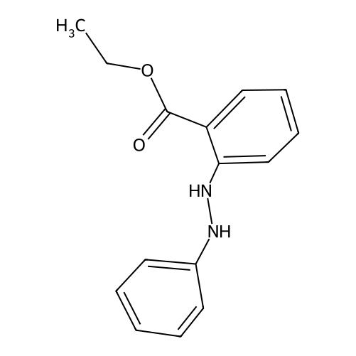 CCOC(=O)c1ccccc1NNc1ccccc1